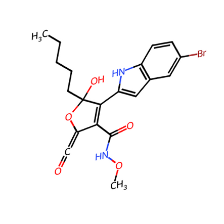 CCCCCC1(O)OC(=C=O)C(C(=O)NOC)=C1c1cc2cc(Br)ccc2[nH]1